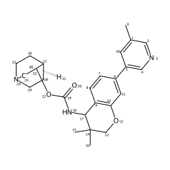 Cc1cncc(-c2ccc3c(c2)OCC(C)(C)C3NC(=O)O[C@H]2CN3CCC2CC3)c1